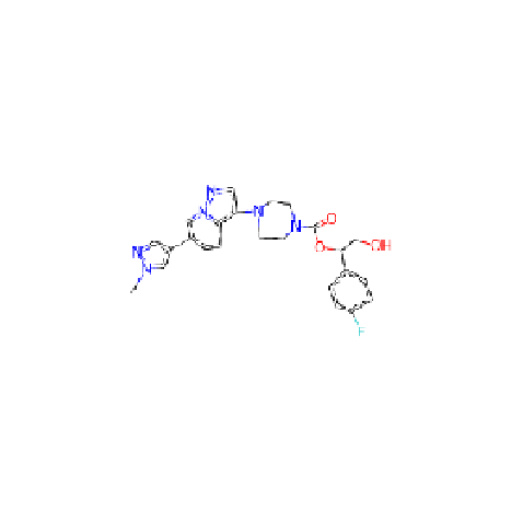 Cn1cc(-c2ccc3c(N4CCN(C(=O)OC(CO)c5ccc(F)cc5)CC4)cnn3c2)cn1